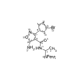 CCCCCC(C)NC(=O)c1c(-c2ccc(Br)s2)noc1N